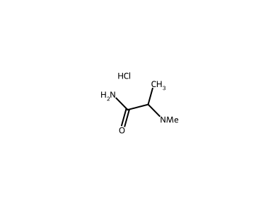 CNC(C)C(N)=O.Cl